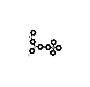 Fc1ccc(N(c2ccc(Oc3ccccc3)cc2)c2ccc(-c3ccc([Si](c4ccccc4)(c4ccccc4)c4ccccc4)cc3)cc2)cc1